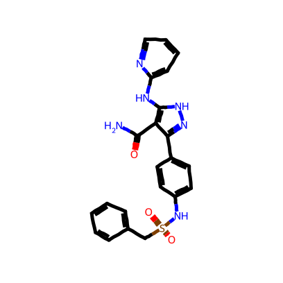 NC(=O)c1c(-c2ccc(NS(=O)(=O)Cc3ccccc3)cc2)n[nH]c1Nc1ccccn1